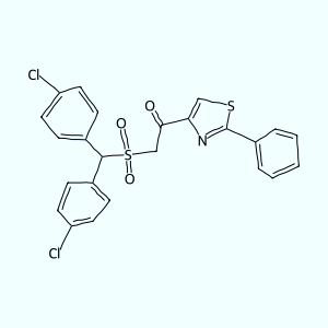 O=C(CS(=O)(=O)C(c1ccc(Cl)cc1)c1ccc(Cl)cc1)c1csc(-c2ccccc2)n1